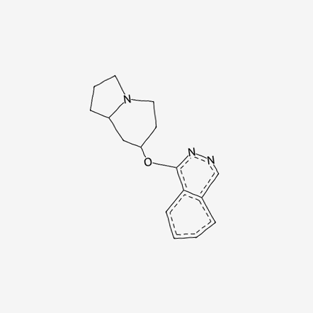 c1ccc2c(OC3CCN4CCCC4C3)nncc2c1